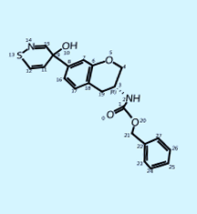 O=C(N[C@H]1COc2cc(C3(O)C=CSN=C3)ccc2C1)OCc1ccccc1